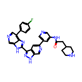 O=C(CC1CCNCC1)Nc1cncc(-c2cc3c(-c4nc5c(-c6ccc(F)cc6)cncc5[nH]4)n[nH]c3cn2)c1